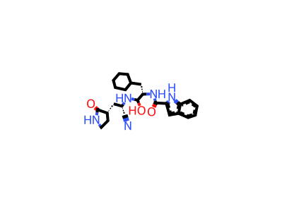 N#C[C@H](C[C@@H]1CCNC1=O)NC(O)[C@H](CC1CCCCC1)NC(=O)c1cc2ccccc2[nH]1